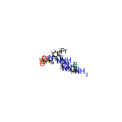 CC(C)c1ccc(N2C[C@H](CS(C)(=O)=O)[C@H]2C)c2cnc(Nc3ccnc(N4CC[C@H](N)C(F)(F)C4)n3)cc12